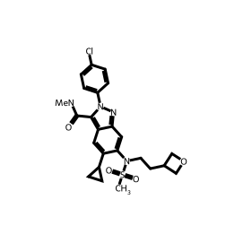 CNC(=O)c1c2cc(C3CC3)c(N(CCC3COC3)S(C)(=O)=O)cc2nn1-c1ccc(Cl)cc1